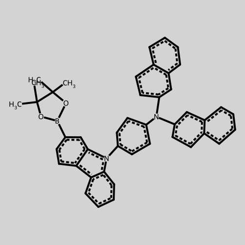 CC1(C)OB(c2ccc3c4ccccc4n(-c4ccc(N(c5ccc6ccccc6c5)c5ccc6ccccc6c5)cc4)c3c2)OC1(C)C